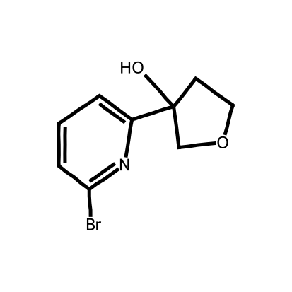 OC1(c2cccc(Br)n2)CCOC1